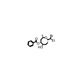 CC[C@H](Br)[C@@H]1CC[C@@H](O)[C@H](OC(=O)c2ccccc2)C[C@@H](C)O1